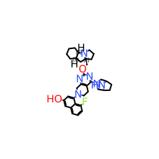 Oc1cc(N2CCc3c(nc(OC[C@]45CCCN4[C@H]4CCCC[C@H]4C5)nc3N3CC4CCC(C3)N4)C2)c2c(F)cccc2c1